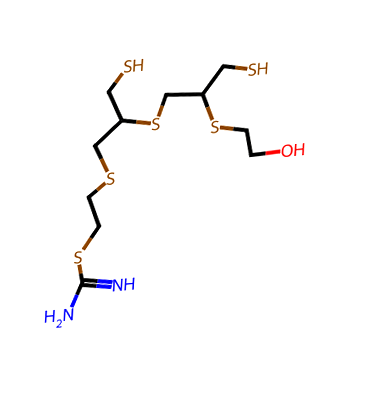 N=C(N)SCCSCC(CS)SCC(CS)SCCO